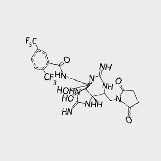 N=C1N[C@H]2C(CN3C(=O)CCC3=O)NC(=N)N3CC(NC(=O)c4cc(C(F)(F)F)ccc4C(F)(F)F)C(O)(O)C23N1